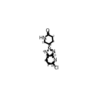 O=C1CC[C@@H](n2nc3ccc(Cl)nc3n2)CN1